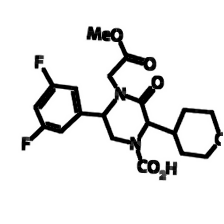 COC(=O)CN1C(=O)C(C2CCOCC2)N(C(=O)O)CC1c1cc(F)cc(F)c1